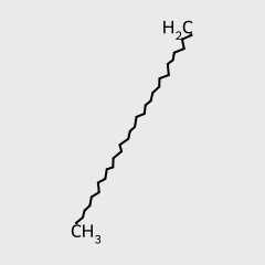 C=CCCCCCCCCCCCCCCCCCCCCCCCCCCCCCC